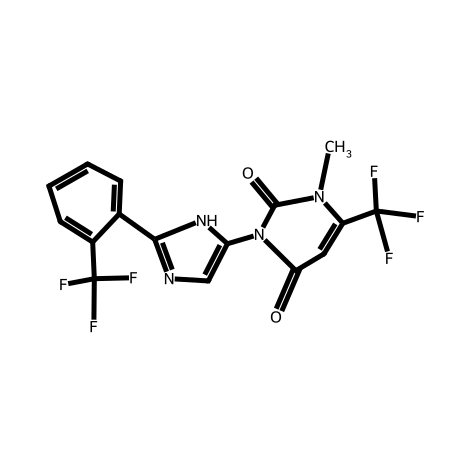 Cn1c(C(F)(F)F)cc(=O)n(-c2cnc(-c3ccccc3C(F)(F)F)[nH]2)c1=O